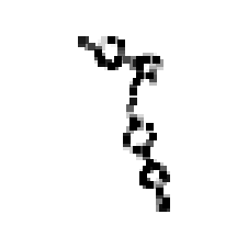 Fc1ccc(-n2cnnc2CCCN2CCN(c3ccc(Cl)cc3)CC2)cc1